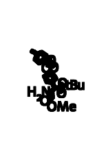 COC(=O)CC(N)C(C(=O)OC(C)(C)C)c1ccc(OS(=O)(=O)c2ccc(C)cc2)cc1